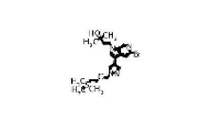 CC(C)(O)CCn1cc(-c2cnn(COCCS(C)(C)C)c2)c2cc(Br)ncc21